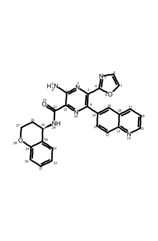 Nc1nc(-c2ncco2)c(-c2ccc3ncccc3c2)nc1C(=O)N[C@@H]1CCOc2ccccc21